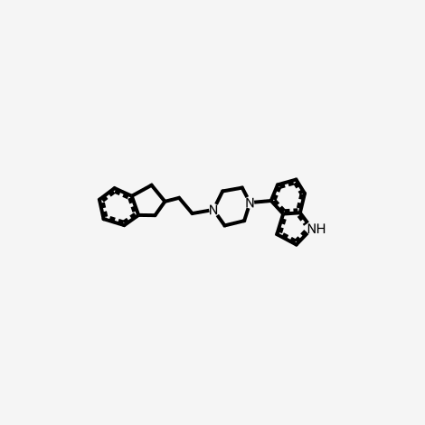 c1ccc2c(c1)CC(CCN1CCN(c3cccc4[nH]ccc34)CC1)C2